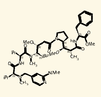 CC[C@H](C)[C@@H]([C@@H](CC(=O)N1CCC[C@H]1[C@H](OC)[C@@H](C)C(=O)N[C@@H](Cc1ccccc1)C(=O)OC)OC)N(C)C(=O)[C@@H](NC(=O)[C@H](C(C)C)N(C)Cc1ccnc(NC)c1)C(C)C